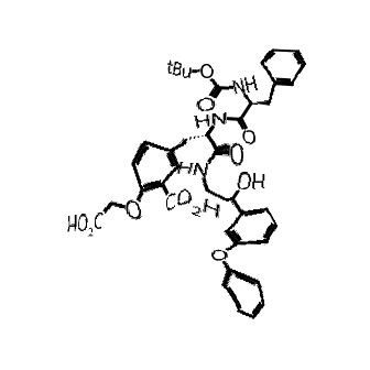 CC(C)(C)OC(=O)N[C@@H](Cc1ccccc1)C(=O)N[C@@H](Cc1ccc(OCC(=O)O)c(C(=O)O)c1)C(=O)NCC(O)c1cccc(Oc2ccccc2)c1